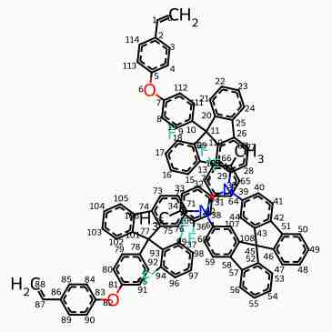 C=Cc1ccc(Oc2ccc(C3(c4c(F)cccc4F)c4ccccc4-c4ccc(N(c5ccc(C)c(F)c5)c5ccc6c(c5)C5(c7ccccc7-6)c6ccccc6-c6ccc(N(c7ccc(C)c(F)c7)c7ccc8c(c7)C(c7ccc(Oc9ccc(C=C)cc9)cc7)(c7c(F)cccc7F)c7ccccc7-8)cc65)cc43)cc2)cc1